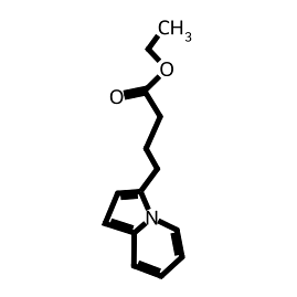 CCOC(=O)CCCc1ccc2ccccn12